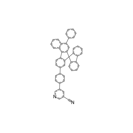 N#Cc1cncc(-c2ccc(-c3ccc4c(c3)C3(c5ccccc5-c5ccccc53)c3cc(-c5ccccc5)c5ccccc5c3-4)cc2)c1